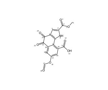 COC(=O)c1cc2c([nH]1)-c1c(C(=O)O)cc(OC=O)nc1C(=O)C2=O